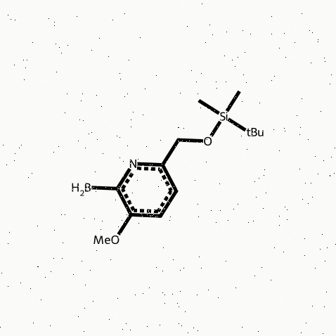 Bc1nc(CO[Si](C)(C)C(C)(C)C)ccc1OC